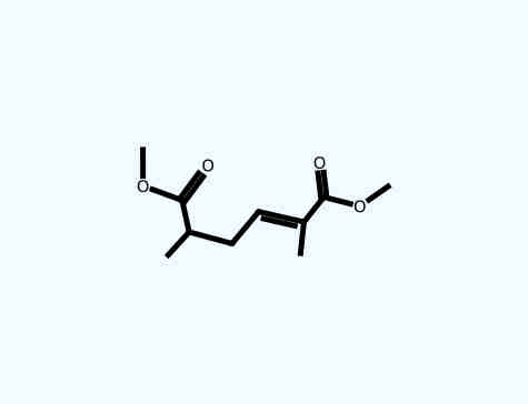 COC(=O)/C(C)=C/CC(C)C(=O)OC